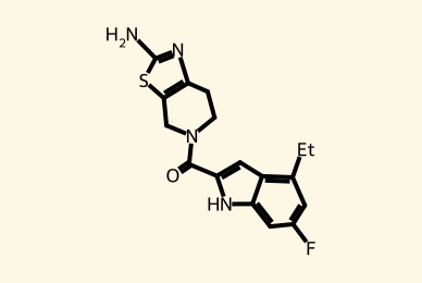 CCc1cc(F)cc2[nH]c(C(=O)N3CCc4nc(N)sc4C3)cc12